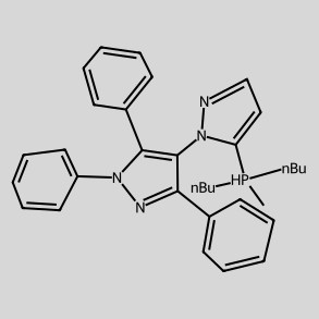 CCCC[PH](C)(CCCC)c1ccnn1-c1c(-c2ccccc2)nn(-c2ccccc2)c1-c1ccccc1